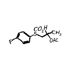 CC(=O)OC(C)(CSc1ccc(F)cc1)C(=O)O